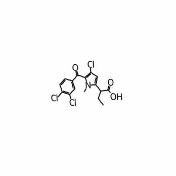 CCC(C(=O)O)c1cc(Cl)c(C(=O)c2ccc(Cl)c(Cl)c2)n1C